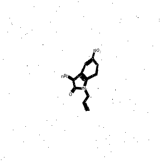 C=CCN1C(=O)C(CCC)C2=C1CCC([N+](=O)[O-])=C2